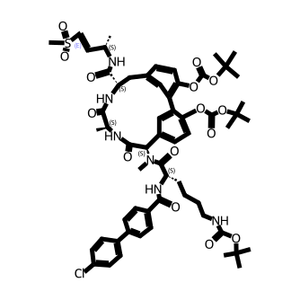 C[C@@H]1NC(=O)[C@@H](N(C)C(=O)[C@H](CCCCNC(=O)OC(C)(C)C)NC(=O)c2ccc(-c3ccc(Cl)cc3)cc2)c2ccc(OC(=O)OC(C)(C)C)c(c2)-c2cc(ccc2OC(=O)OC(C)(C)C)C[C@@H](C(=O)N[C@@H](C)/C=C/S(C)(=O)=O)NC1=O